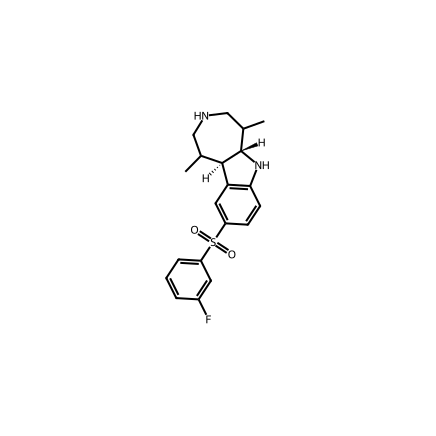 CC1CNCC(C)[C@@H]2c3cc(S(=O)(=O)c4cccc(F)c4)ccc3N[C@@H]12